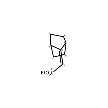 CCOC(=O)C=C1C2CCC1CC2